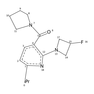 CC(C)c1ccc(C(=O)N2CCCC2)c(N2CC(F)C2)n1